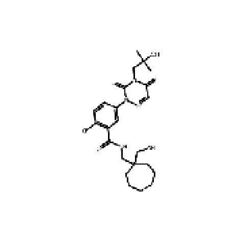 CC(C)(O)Cn1c(=O)cnn(-c2ccc(Cl)c(C(=O)NCC3(CO)CCCCCC3)c2)c1=O